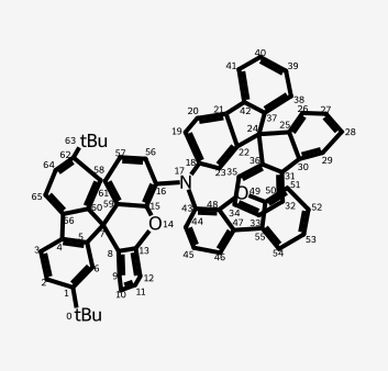 CC(C)(C)c1ccc2c(c1)C1(c3ccccc3Oc3c(N(c4ccc5c(c4)C4(c6ccccc6-c6ccccc64)c4ccccc4-5)c4cccc5c4oc4ccccc45)cccc31)c1cc(C(C)(C)C)ccc1-2